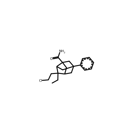 CCC1(CCCl)C2CC3(c4ccccc4)CC1C(C(N)=O)(C2)C3